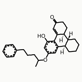 CC(CCCc1ccccc1)Oc1cc(O)c2c(c1)[C@@H]1CCCC[C@H]1[C@@H]1CCC(=O)C=C21